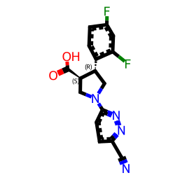 N#Cc1ccc(N2C[C@@H](C(=O)O)[C@H](c3ccc(F)cc3F)C2)nn1